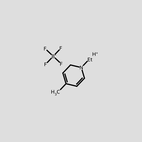 CCN1C=CC(C)=CC1.F[B-](F)(F)F.[H+]